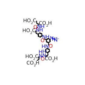 [N-]=[N+]=Nc1cc(C(=O)Nc2ccc(C[C@H](NC(=O)N[C@@H](CCC(=O)O)C(=O)O)C(=O)O)cc2)cc(C(=O)Nc2ccc(C[C@H](NC(=O)N[C@@H](CCC(=O)O)C(=O)O)C(=O)O)cc2)c1